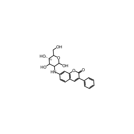 O=c1oc2cc(NC3C(O)OC(CO)[C@@H](O)C3O)ccc2cc1-c1ccccc1